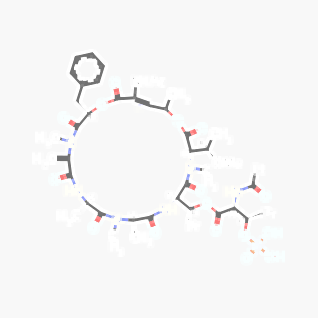 C=C1C(=O)N[C@@H](C)C(=O)N(C)[C@@H](C)C(=O)N[C@@H]([C@H](OC(=O)[C@@H](NC(=O)CC)[C@H](OP(=O)(O)O)C(C)C)C(C)C)C(=O)N(C)[C@@H]([C@@H](C)OC)C(=O)OC(C)/C=C(\NC(C)=O)C(=O)O[C@H](Cc2ccccc2)C(=O)N1C